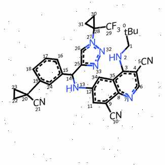 CC(C)(C)CNc1c(C#N)cnc2c(C#N)cc(NC(c3cccc(C4(C#N)CC4)c3)c3cn(C4(C(F)(F)F)CC4)nn3)cc12